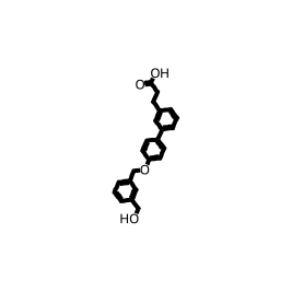 O=C(O)CCc1cccc(-c2ccc(OCc3cccc(CO)c3)cc2)c1